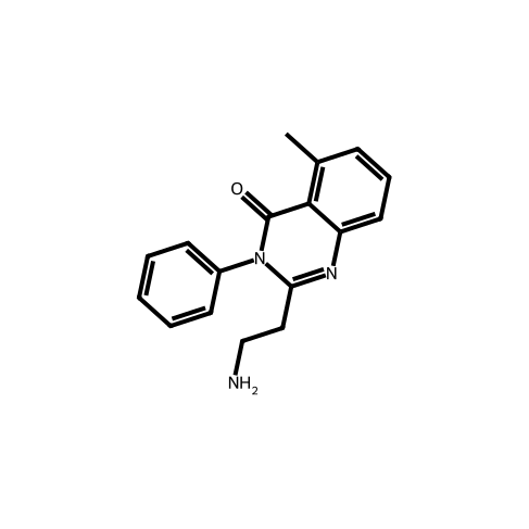 Cc1cccc2nc(CCN)n(-c3ccccc3)c(=O)c12